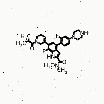 CC(C)C(=O)N1CCC=C(c2cc(-c3ccc(N4CCNCC4)cc3F)c3cc(C(=O)N(C)C)[nH]c3c2F)C1